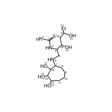 CCCC(=S)NC(CNC1CCCCC(O)C(O)C1O)C(O)CC(O)CC